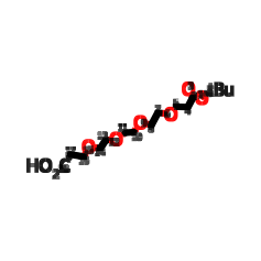 CC(C)(C)OC(=O)CCOCCOCCOCCOCCC(=O)O